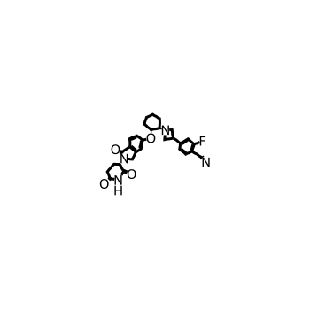 N#Cc1ccc(C2CN([C@@H]3CCCC[C@H]3Oc3ccc4c(c3)CN(C3CCC(=O)NC3=O)C4=O)C2)cc1F